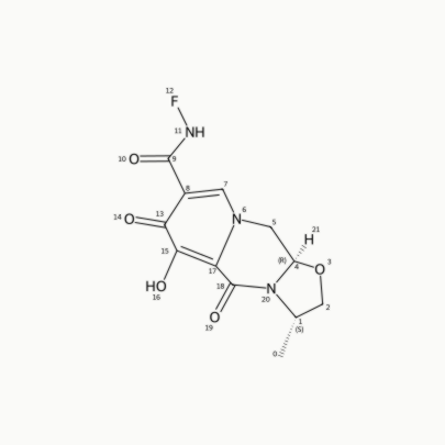 C[C@H]1CO[C@@H]2Cn3cc(C(=O)NF)c(=O)c(O)c3C(=O)N12